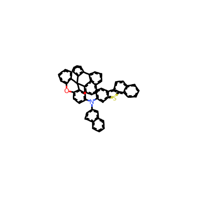 c1ccc2c(c1)Oc1ccc(N(c3ccc4ccccc4c3)c3ccc4c(c3)sc3c5ccccc5ccc43)cc1C21c2ccccc2-c2cccc3cccc1c23